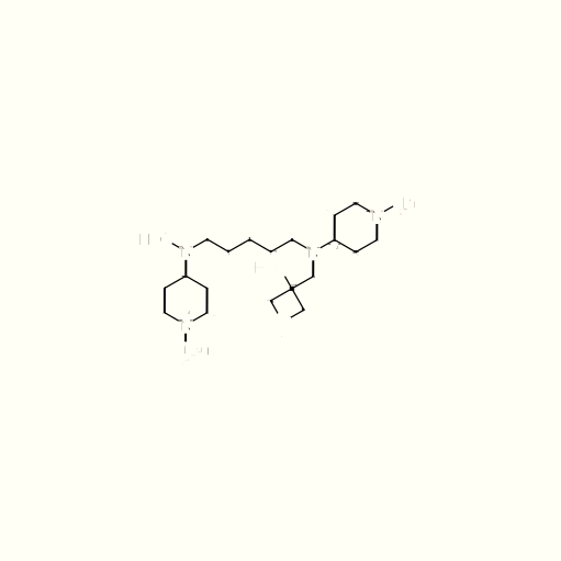 CN(CCCCCN(CC1(C)COC1)C1CCN(C(C)(C)C)CC1)C1CCN(C(C)(C)C)CC1